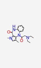 CCN(CC)CC(=O)N1c2ccccc2NC(=O)c2c1c(C)cn2C